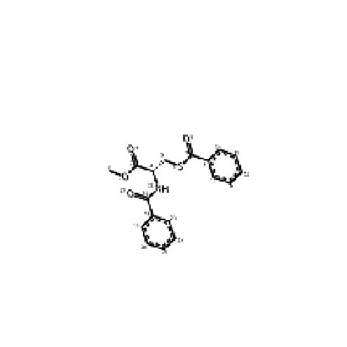 COC(=O)[C@H](CSC(=O)c1ccccc1)NC(=O)c1ccccc1